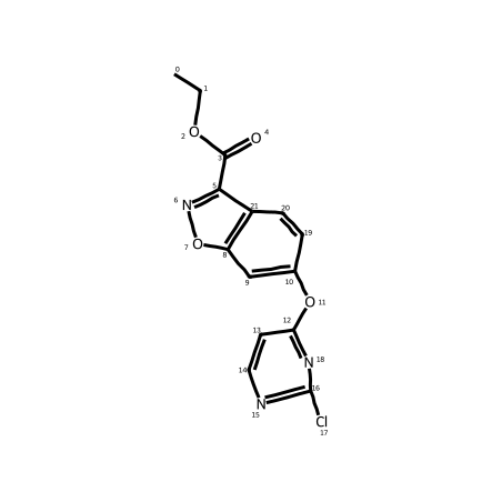 CCOC(=O)c1noc2cc(Oc3ccnc(Cl)n3)ccc12